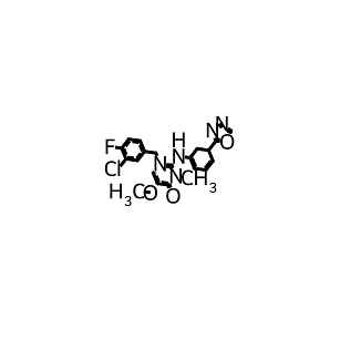 COc1cn(Cc2ccc(F)c(Cl)c2)c(NC2=C(C)C=CC(c3nnco3)C2)nc1=O